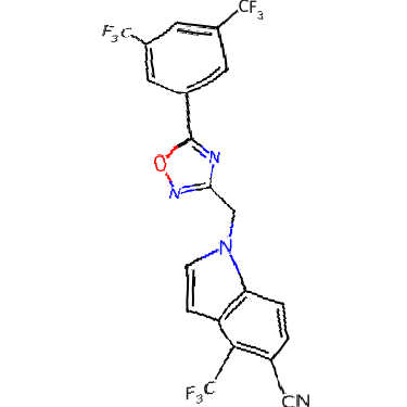 N#Cc1ccc2c(ccn2Cc2noc(-c3cc(C(F)(F)F)cc(C(F)(F)F)c3)n2)c1C(F)(F)F